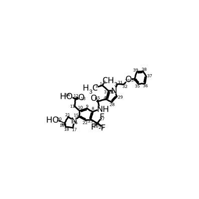 CC(C)c1c(C(=O)Nc2cc(CC(=O)O)c(N3CC[C@@H](O)C3)cc2C(F)(F)F)ccn1CCOc1ccccc1